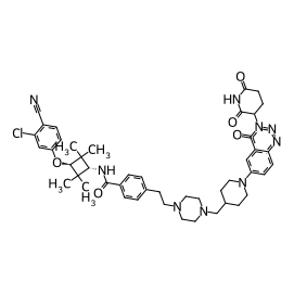 CC1(C)[C@H](NC(=O)c2ccc(CCN3CCN(CC4CCN(c5ccc6nnn(C7CCC(=O)NC7=O)c(=O)c6c5)CC4)CC3)cc2)C(C)(C)[C@H]1Oc1ccc(C#N)c(Cl)c1